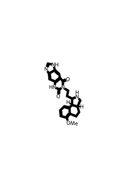 COc1cccc2c1CC[C@H]1CNC(CCn3c(=O)[nH]c4cc5nc[nH]c5cc4c3=O)[C@@H]21